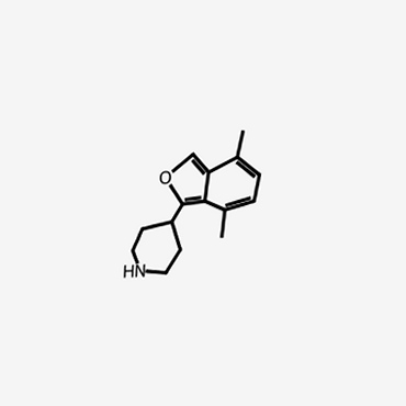 Cc1ccc(C)c2c(C3CCNCC3)occ12